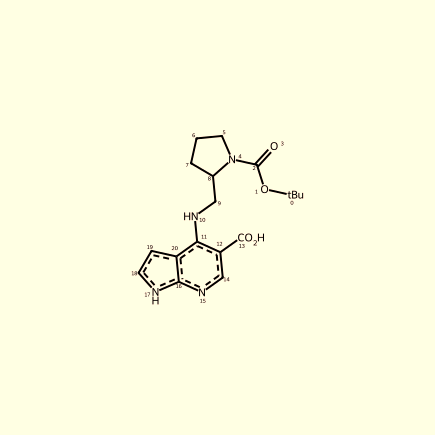 CC(C)(C)OC(=O)N1CCCC1CNc1c(C(=O)O)cnc2[nH]ccc12